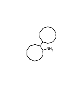 NC1CCCCCCCCN1C1CCCCCCCCC1